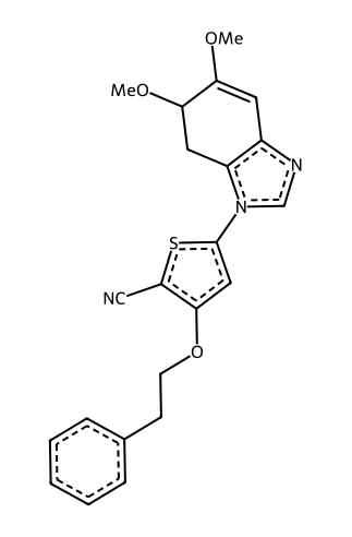 COC1=Cc2ncn(-c3cc(OCCc4ccccc4)c(C#N)s3)c2CC1OC